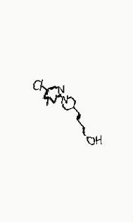 OCC/C=C/C1CCN(c2ncc(Cl)cn2)CC1